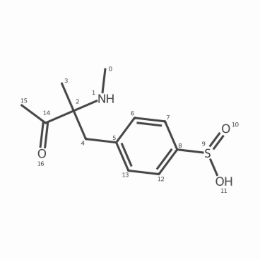 CNC(C)(Cc1ccc(S(=O)O)cc1)C(C)=O